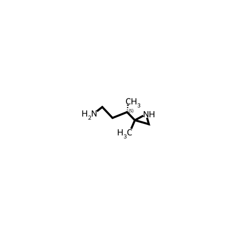 C[C@@H](CCN)C1(C)CN1